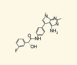 Cc1nc(N)c2c(-c3ccc(NC(=O)[C@H](O)c4cccc(F)c4)cc3)cn(C)c2n1